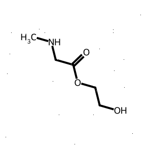 CNCC(=O)OCCO